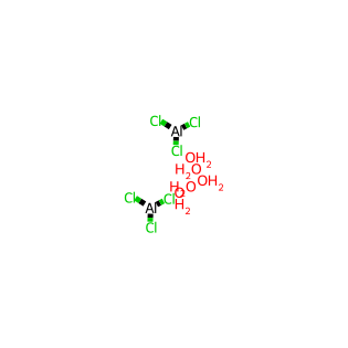 O.O.O.O.O.[Cl][Al]([Cl])[Cl].[Cl][Al]([Cl])[Cl]